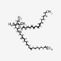 CCCCCCCC/C=C\CCCCCCCCOCC(CC(C)N(CC)CC)OCCCCCCCC/C=C\CCCCCCCC